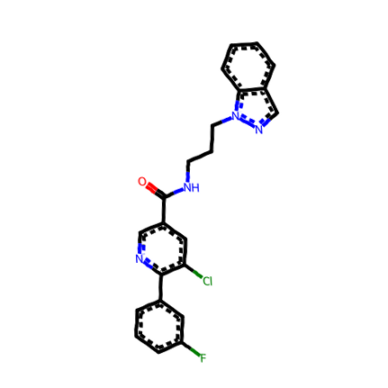 O=C(NCCCn1ncc2ccccc21)c1cnc(-c2cccc(F)c2)c(Cl)c1